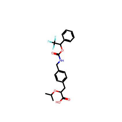 CC(C)OC(Cc1ccc(CNC(=O)OC(c2ccccc2)C(F)(F)F)cc1)C(=O)O